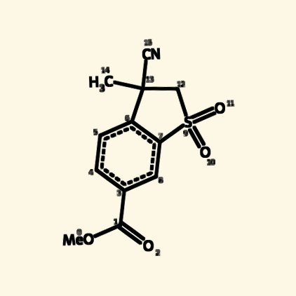 COC(=O)c1ccc2c(c1)S(=O)(=O)CC2(C)C#N